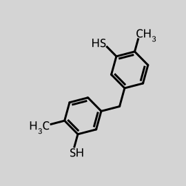 Cc1ccc(Cc2ccc(C)c(S)c2)cc1S